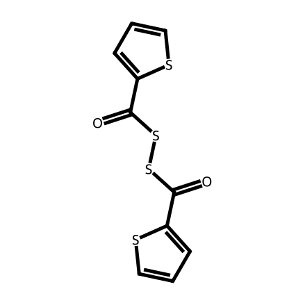 O=C(SSC(=O)c1cccs1)c1cccs1